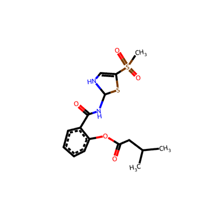 CC(C)CC(=O)Oc1ccccc1C(=O)NC1NC=C(S(C)(=O)=O)S1